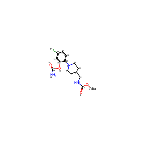 CC(C)(C)OC(=O)NCC1CCN(c2ccc(F)cc2OC(N)=O)CC1